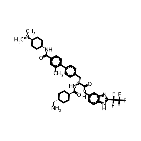 Cc1cc(C(=O)N[C@H]2CC[C@H](N(C)C)CC2)ccc1-c1ccc(C[C@H](NC(=O)[C@H]2CC[C@H](CN)CC2)C(=O)Nc2ccc3[nH]c(C(F)(F)C(F)(F)F)nc3c2)cc1